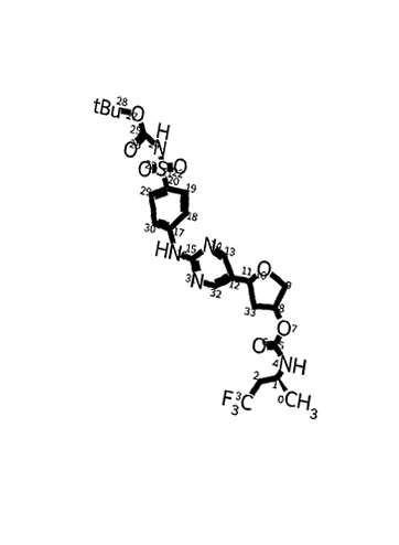 C[C@@H](CC(F)(F)F)NC(=O)OC1COC(c2cnc(Nc3ccc(S(=O)(=O)NC(=O)OC(C)(C)C)cc3)nc2)C1